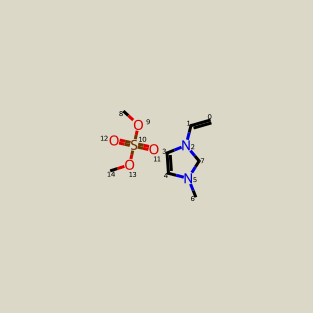 C=CN1C=CN(C)C1.COS(=O)(=O)OC